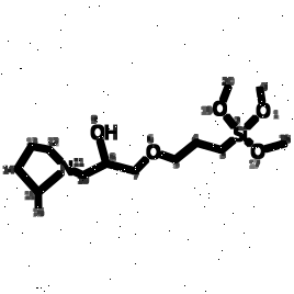 CO[Si](CCCOCC(O)CN1CCCC1C)(OC)OC